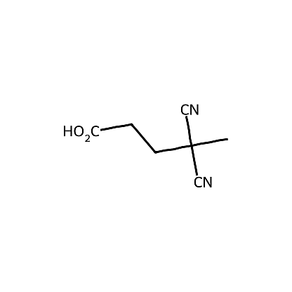 CC(C#N)(C#N)CCC(=O)O